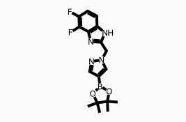 CC1(C)OB(c2cnn(Cc3nc4c(F)c(F)ccc4[nH]3)c2)OC1(C)C